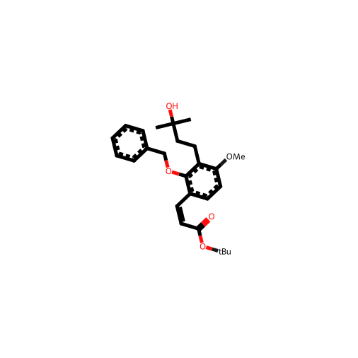 COc1ccc(/C=C\C(=O)OC(C)(C)C)c(OCc2ccccc2)c1CCC(C)(C)O